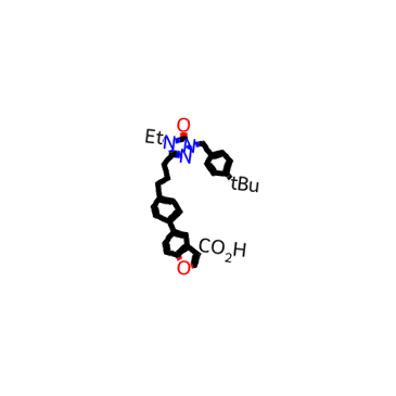 CCn1c(CCCc2ccc(-c3ccc4occ(C(=O)O)c4c3)cc2)nn(Cc2ccc(C(C)(C)C)cc2)c1=O